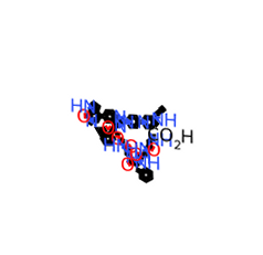 C#CCNC1(C)CCN(C2CCN(c3nc([C@@](COCNC(=O)CNC(=O)[C@H](Cc4ccccc4)NC(=O)CNC(=O)CNC(=O)O)(OC4CC4)c4ccccc4)c4cc(-c5cn(C)c(=O)c6[nH]ccc56)ccc4n3)CC2)CC1